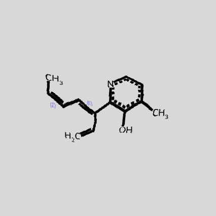 C=C/C(=C\C=C/C)c1nccc(C)c1O